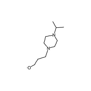 CC(C)N1CCN(CCC[O])CC1